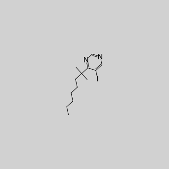 CCCCCCC(C)(C)c1ncncc1I